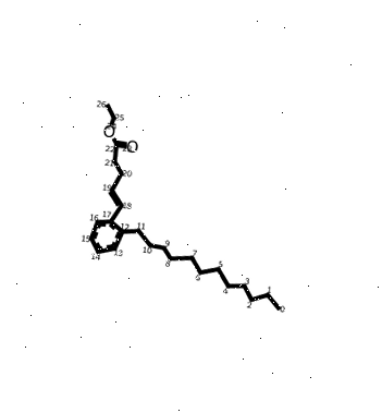 CCCCCCCCCCCCc1ccccc1C=CCCC(=O)OCC